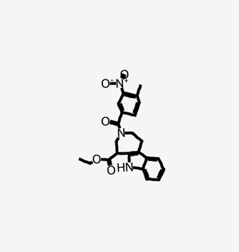 CCOC(=O)C1CN(C(=O)c2ccc(C)c([N+](=O)[O-])c2)CCc2c1[nH]c1ccccc21